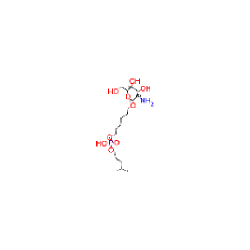 CC(C)CCCOP(=O)(O)OCCCCCCO[C@@H]1OC(CO)[C@H](O)C(O)[C@@H]1N